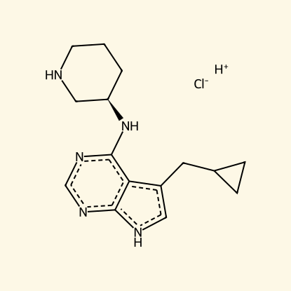 [Cl-].[H+].c1nc(N[C@@H]2CCCNC2)c2c(CC3CC3)c[nH]c2n1